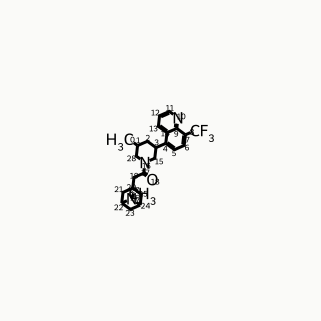 CC1CC(c2ccc(C(F)(F)F)c3ncccc23)CN(C(=O)CC2CC3CC(C2)N3C)C1